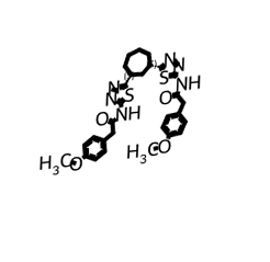 COc1ccc(CC(=O)Nc2nnc([C@H]3CCCC[C@H](c4nnc(NC(=O)Cc5ccc(OC)cc5)s4)C3)s2)cc1